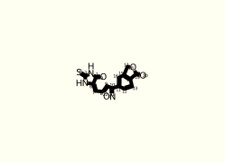 O=C1NC(=S)NC1=Cc1cc(-c2ccc3c(c2)COC3=O)no1